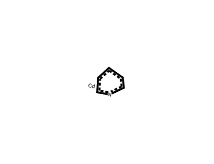 [Gd].c1ccncc1